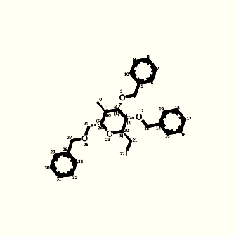 C[C@H]1[C@H](OCc2ccccc2)[C@H](OCc2ccccc2)[C@@H](CI)O[C@@H]1COCc1ccccc1